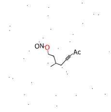 CC(=O)C#CCC(C)CCON=O